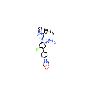 C[C@H]1CN(c2cc(F)c(-c3ccc(N4CCOCC4)cc3)cc2N)CCN1C